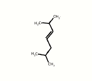 [CH2]C(C)/C=C/CC(C)C